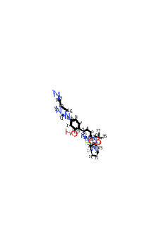 CN(c1ccc(-c2ccc(-n3cnc(C#N)c3)cc2O)nn1)C1CC2CCC(C1F)N2C(=O)OC(C)(C)C